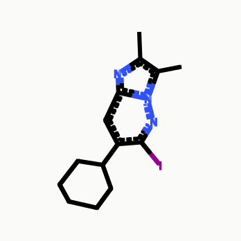 Cc1nc2cc(C3CCCCC3)c(I)nn2c1C